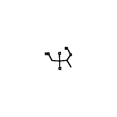 CCOC(C)C(Cl)(Cl)CO